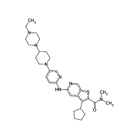 CCN1CCN(C2CCN(c3ccc(Nc4cc5c(C6CCCC6)c(C(=O)N(C)C)sc5cn4)nc3)CC2)CC1